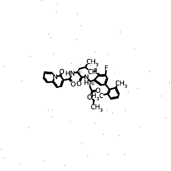 CCOC(=O)C[C@H](NC(=O)[C@H](CC(C)C)NC(=O)c1ccc2ccccn2c1=O)c1cc(-c2c(C)cccc2C)cc(F)c1F